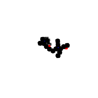 Cc1ccccc1N1c2cc(-c3ccc4c(c3)oc3cc(C5CCCC(c6ccc7c(c6)B6c8cc(C9CCCCC9)ccc8-c8cc(-c9ccc%10c(c9)oc9ccccc9%10)cc(c86)N7c6ccc(C7CCCCC7)cc6)C5)ccc34)cc3c2B(c2ccccc2-3)c2cccc(C)c21